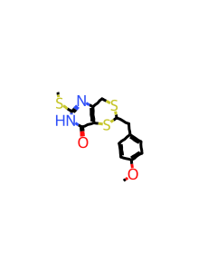 COc1ccc(CC2SCc3nc(SC)[nH]c(=O)c3S2)cc1